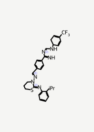 CC(C)c1ccccc1/N=C1\SCCCN1/N=C/c1ccc(C(=N)/N=C\NC2C=CC(C(F)(F)F)=CC2)cc1